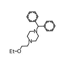 [CH2]COCCN1CCN(C(c2ccccc2)c2ccccc2)CC1